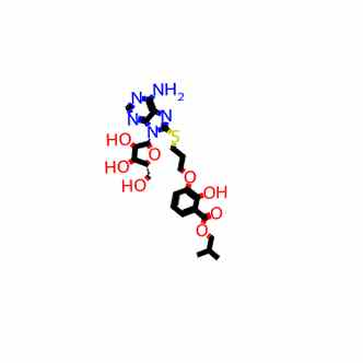 CC(C)COC(=O)c1cccc(OCCCSc2nc3c(N)ncnc3n2[C@@H]2O[C@H](CO)C(O)C2O)c1O